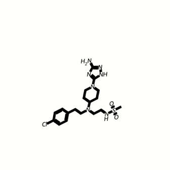 CS(=O)(=O)NCCN(CCc1ccc(Cl)cc1)C1CCN(c2nc(N)n[nH]2)CC1